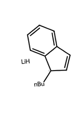 CCCC[C]1C=Cc2ccccc21.[LiH]